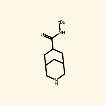 CC(C)(C)NC(=O)C1CC2CNCC(C2)C1